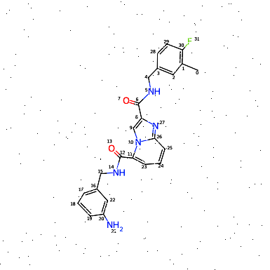 Cc1cc(CNC(=O)c2cn3c(C(=O)NCc4cccc(N)c4)cccc3n2)ccc1F